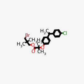 C=C(c1ccc(Cl)cc1)c1ccc(OC(C)(C)C(=O)OCC(C)(C)CBr)cc1